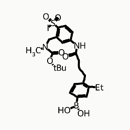 CCc1cc(B(O)O)ccc1CCCC(=O)Nc1ccc(S(=O)(=O)I)c(CN(C)C(=O)OC(C)(C)C)c1